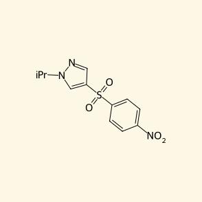 CC(C)n1cc(S(=O)(=O)c2ccc([N+](=O)[O-])cc2)cn1